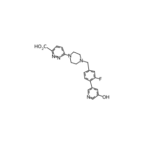 O=C(O)c1ccc(N2CCN(Cc3ccc(-c4cncc(O)c4)c(F)c3)CC2)nn1